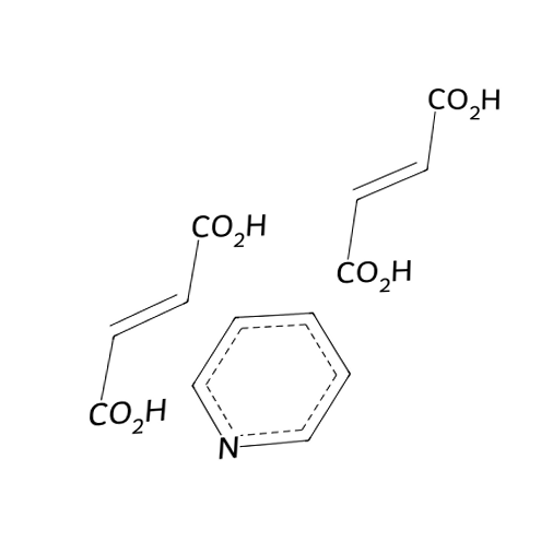 O=C(O)C=CC(=O)O.O=C(O)C=CC(=O)O.c1ccncc1